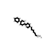 CCCCCCC[C@H]1CC[C@H]([C@H]2CC[C@H](C3CCCCC3)CC2)CC1